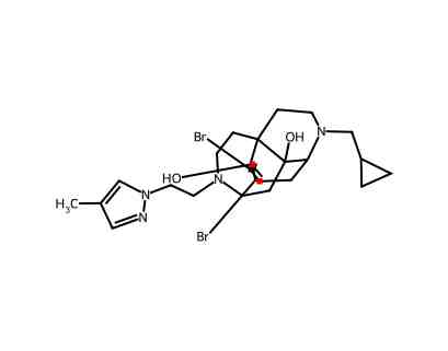 Cc1cnn(CCN2CCC34CCN(CC5CC5)C(Cc5cc(Br)c(O)c(Br)c53)C4(O)CC2)c1